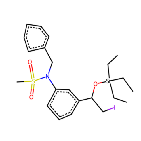 CC[Si](CC)(CC)OC(CI)c1cccc(N(Cc2ccccc2)S(C)(=O)=O)c1